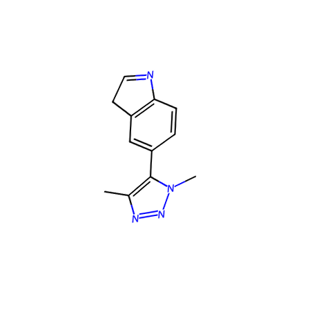 Cc1nnn(C)c1-c1ccc2c(c1)CC=N2